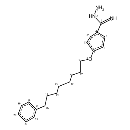 N=C(NN)c1ccc(OCCCCCCCCc2ccccc2)cc1